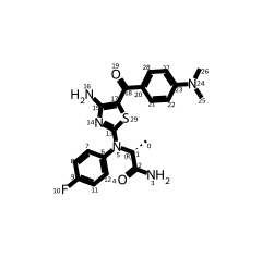 C[C@H](C(N)=O)N(c1ccc(F)cc1)c1nc(N)c(C(=O)c2ccc(N(C)C)cc2)s1